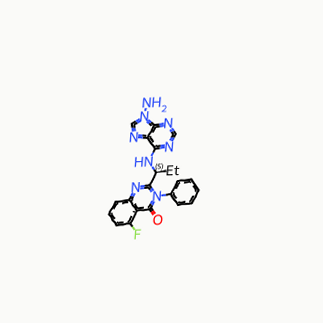 CC[C@H](Nc1ncnc2c1ncn2N)c1nc2cccc(F)c2c(=O)n1-c1ccccc1